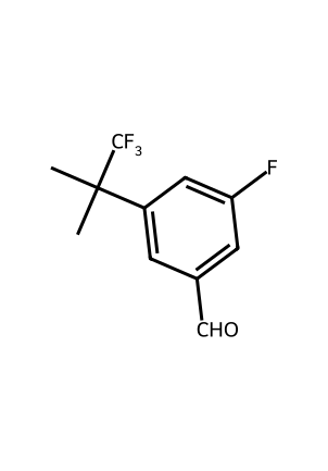 CC(C)(c1cc(F)cc(C=O)c1)C(F)(F)F